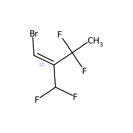 CC(F)(F)/C(=C\Br)C(F)F